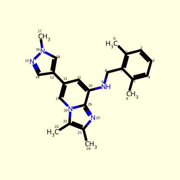 Cc1cccc(C)c1CNc1cc(-c2cnn(C)c2)cn2c(C)c(C)nc12